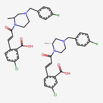 CC1CN(Cc2ccc(F)cc2)CCN1C(=O)/C=C/c1ccc(Cl)cc1C(=O)O.C[C@@H]1CN(Cc2ccc(F)cc2)CCN1C(=O)/C=C/c1ccc(Cl)cc1C(=O)O